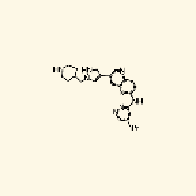 CC(C)c1cnnc(Nc2ccc3ncc(C4=CN(CC5CCNCC5)NC4)cc3n2)c1